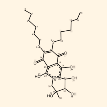 CCCCCCSC1=C(SCCCCCC)C(=O)c2c(O)c3c(c(O)c2C1=O)CC(C)(O)C(O)C3O